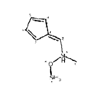 C[SiH](C=C1C=CC=C1)O[SiH3]